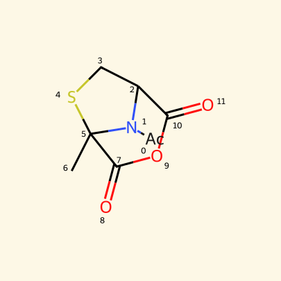 CC(=O)N1C2CSC1(C)C(=O)OC2=O